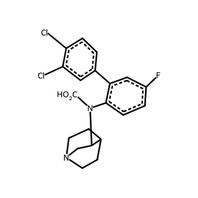 O=C(O)N(c1ccc(F)cc1-c1ccc(Cl)c(Cl)c1)C1CN2CCC1CC2